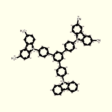 Cc1ccc2c(c1)c1cc(C)ccc1n2-c1ccc(-c2cc(-c3ccc(-n4c5ccccc5c5ccccc54)cc3)cc(-c3ccc(-n4c5ccc(C#N)cc5c5cc(C#N)ccc54)cc3)c2)cc1